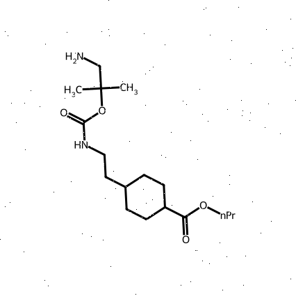 CCCOC(=O)C1CCC(CCNC(=O)OC(C)(C)CN)CC1